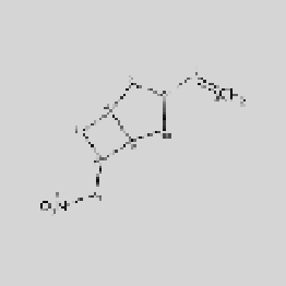 C=C[C@H]1CC2CC(C[N+](=O)[O-])C2C1